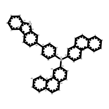 c1ccc2c(c1)ccc1cc(N(c3ccc(-c4ccc5c(c4)oc4ccccc45)cc3)c3ccc4ccc5ccccc5c4c3)ccc12